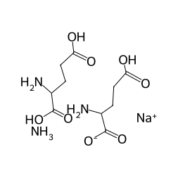 N.NC(CCC(=O)O)C(=O)O.NC(CCC(=O)O)C(=O)[O-].[Na+]